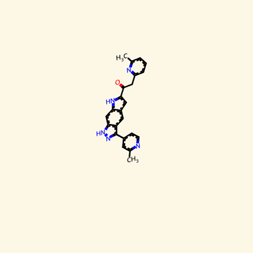 Cc1cc(-c2n[nH]c3cc4[nH]c(C(=O)Cc5cccc(C)n5)cc4cc23)ccn1